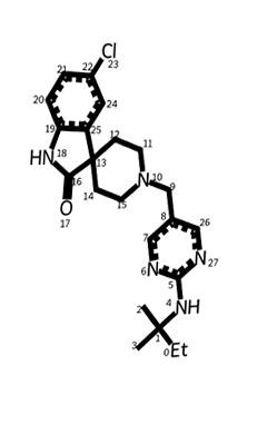 CCC(C)(C)Nc1ncc(CN2CCC3(CC2)C(=O)Nc2ccc(Cl)cc23)cn1